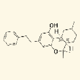 CC1CC[C@@H]2[C@H](C1)c1c(O)cc(CCc3ccccc3)cc1OC2(C)C